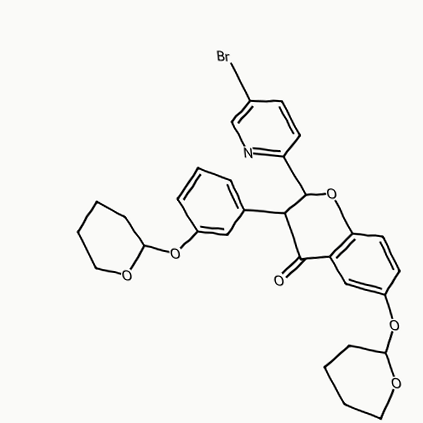 O=C1c2cc(OC3CCCCO3)ccc2OC(c2ccc(Br)cn2)C1c1cccc(OC2CCCCO2)c1